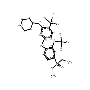 CCP(=O)(CC)c1ccc(Nc2ncc(C(F)(F)F)c(OC3CCNCC3)n2)c(OC(F)(F)F)c1